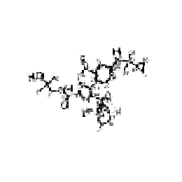 CC(C)(O)CNC(=O)c1nc(C(=O)N2[C@H]3CC[C@@H]2CC3)c(-c2cnc(NC(C)(C)C3CC3)cc2C(F)F)s1